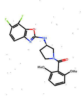 COc1cccc(OC)c1C(=O)N1CC[C@@H](Nc2nc3ccc(F)c(F)c3o2)C1